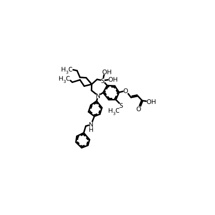 CCCCC1(CCCC)CN(c2ccc(NCc3ccccc3)cc2)c2cc(SC)c(O/C=C/C(=O)O)cc2S(O)(O)C1